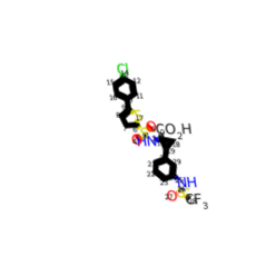 O=C(O)C1(NS(=O)(=O)C2CC=C(c3ccc(Cl)cc3)S2)CC1c1cccc(N[S+]([O-])C(F)(F)F)c1